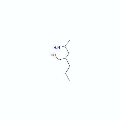 CCCC(CO)CC(C)N